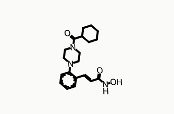 O=C(/C=C/c1ccccc1N1CCN(C(=O)C2CCCCC2)CC1)NO